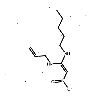 C=CCN/C(=C\[N+](=O)[O-])NCCCCC